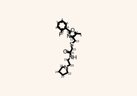 Cc1oc(-c2ccccc2F)nc1CSCC(=O)NCCN1CCCC1